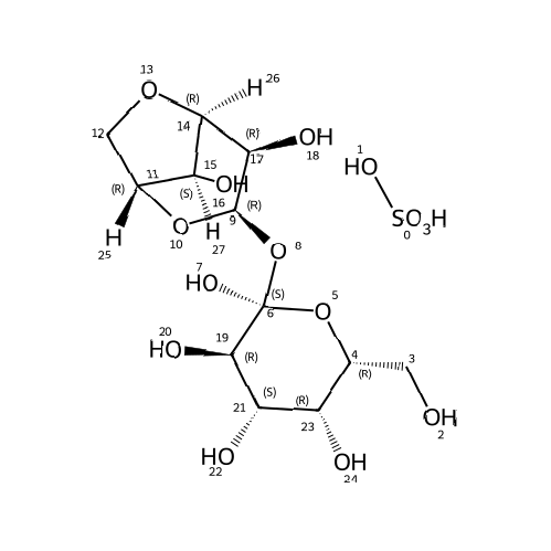 O=S(=O)(O)O.OC[C@H]1O[C@](O)(O[C@H]2O[C@@H]3CO[C@H]([C@H]3O)[C@H]2O)[C@H](O)[C@@H](O)[C@H]1O